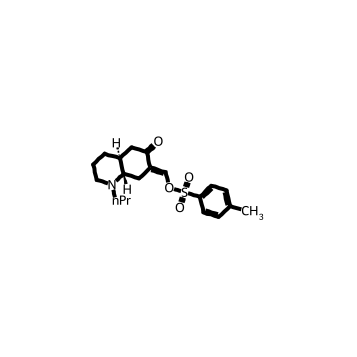 CCCN1CCC[C@H]2CC(=O)C(=COS(=O)(=O)c3ccc(C)cc3)C[C@@H]21